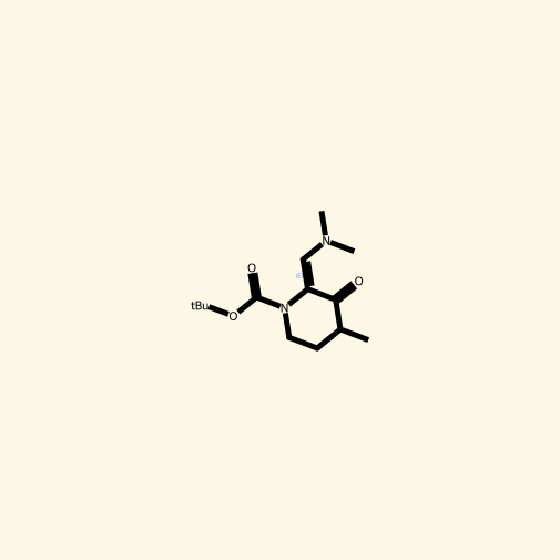 CC1CCN(C(=O)OC(C)(C)C)/C(=C/N(C)C)C1=O